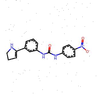 O=C(Nc1ccc([N+](=O)[O-])cc1)Nc1cccc(C2=CCCN2)c1